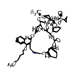 C=C[C@@H]1C[C@]1(NC(=O)[C@@H]1C[C@@H]2CN1C(=O)[C@H](C1CCCC1)NC(=O)O[C@@H]1CCC[C@H]1CC/C=C/Cc1c(nc3ccccc3c1OCCCCO)O2)C(=O)NS(=O)(=O)C1CC1